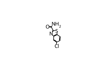 NC(=O)c1nc2cc(Cl)ccc2s1